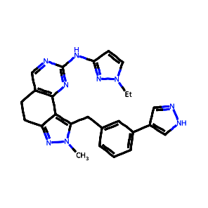 CCn1ccc(Nc2ncc3c(n2)-c2c(nn(C)c2Cc2cccc(-c4cn[nH]c4)c2)CC3)n1